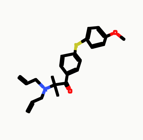 C=CCN(CC=C)C(C)(C)C(=O)c1ccc(Sc2ccc(OC)cc2)cc1